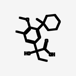 CCC(O)(C(=O)O)c1cc(C)c(OC)c(C2(C)CCCCC2)c1